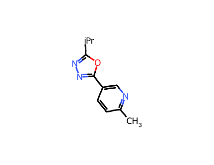 Cc1ccc(-c2nnc(C(C)C)o2)cn1